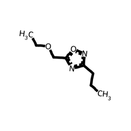 CCCc1noc(COCC)n1